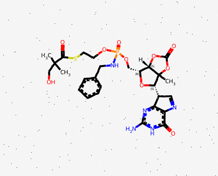 CC(C)(CO)C(=O)SCCOP(=O)(NCc1ccccc1)OC[C@H]1O[C@@H](C2C=Nc3c2nc(N)[nH]c3=O)C2(C)OC(=O)O[C@@H]12